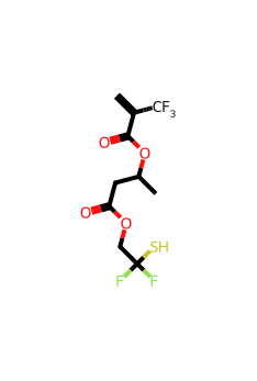 C=C(C(=O)OC(C)CC(=O)OCC(F)(F)S)C(F)(F)F